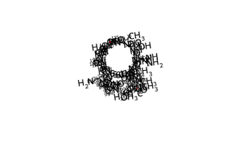 CCCC[C@@H]1NC(=O)[C@H](CCC(=O)O)NC(=O)[C@H](CCCNC(=N)N)NC(=O)[C@H](CC(C)C)NC(=O)C(NC(=O)[C@H](Cc2cccc(Cl)c2)NC(=O)[C@@H]2CCCN2C(=O)[C@@H](NC(C)=O)C(C)C)CCSSC[C@@H](C(=O)NC(CCCCN)C(=O)N2CCC[C@H]2C(=O)N2CCC[C@H]2C(=O)N[C@@H](CCC(=O)O)C(N)=O)NC(=O)[C@H](Cc2ccccc2)NC(=O)[C@H](CO)NC(=O)[C@H](C)NC(=O)[C@@H]2CCCN2C1=O